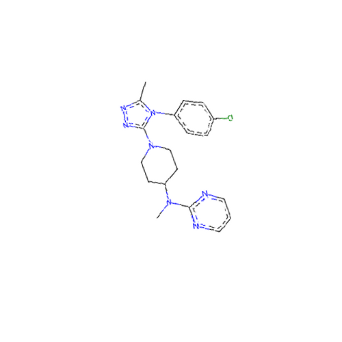 Cc1nnc(N2CCC(N(C)c3ncccn3)CC2)n1-c1ccc(Cl)cc1